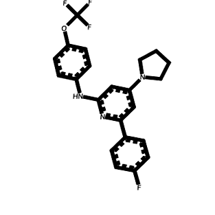 Fc1ccc(-c2cc(N3CCCC3)cc(Nc3ccc(OC(F)(F)F)cc3)n2)cc1